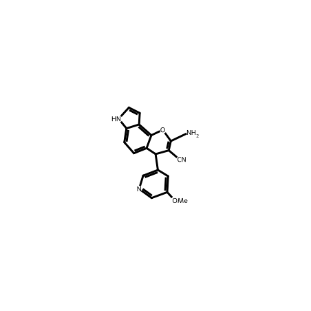 COc1cncc(C2C(C#N)=C(N)Oc3c2ccc2[nH]ccc32)c1